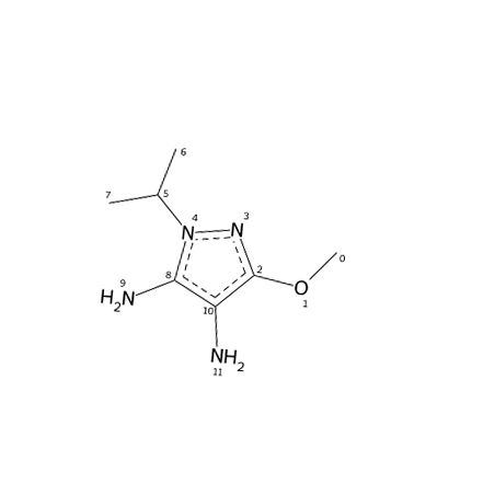 COc1nn(C(C)C)c(N)c1N